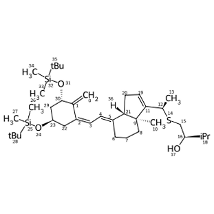 C=C1C(=CC=C2CCC[C@]3(C)C([C@@H](C)SC[C@H](O)C(C)C)=CC[C@@H]23)C[C@@H](O[Si](C)(C)C(C)(C)C)C[C@@H]1O[Si](C)(C)C(C)(C)C